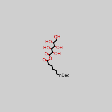 CCCCCCCCCCCCCCCC(=O)OC(=O)[C@H](O)[C@@H](O)[C@H](O)[C@H](O)CO